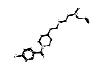 C=CCN(C)CCOCCC1CCN(C(=O)c2ccc(Cl)cc2)CC1